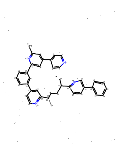 CC(C)c1cc(-c2ccncc2)cc(-c2cccc(-c3ccnc([C@@H](C)CCC(C)c4ccc(-c5ccccc5)cn4)c3)c2)n1